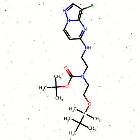 CC(C)(C)OC(=O)N(CCNc1ccn2ncc(Br)c2n1)CCO[Si](C)(C)C(C)(C)C